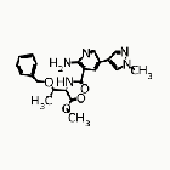 COC(=O)[C@@H](NC(=O)c1cc(-c2cnn(C)c2)cnc1N)[C@@H](C)OCc1ccccc1